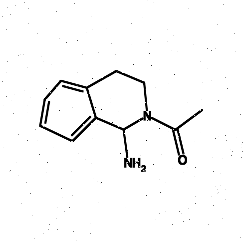 CC(=O)N1CCc2ccccc2C1N